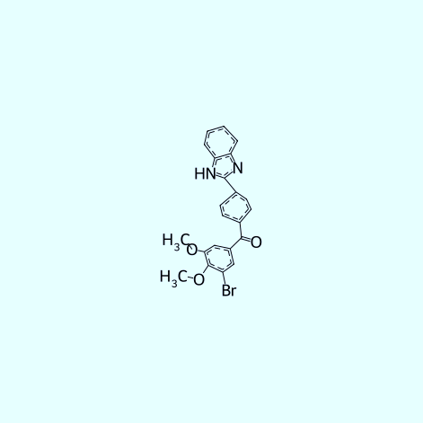 COc1cc(C(=O)c2ccc(-c3nc4ccccc4[nH]3)cc2)cc(Br)c1OC